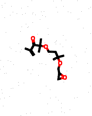 C=C(C)C(=O)C(C)(C)OCCC(C)(C)OCC1CO1